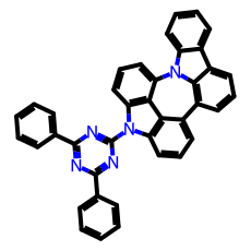 c1ccc(-c2nc(-c3ccccc3)nc(-n3c4cccc5c6cccc7c8ccccc8n(c8cccc3c8c54)c67)n2)cc1